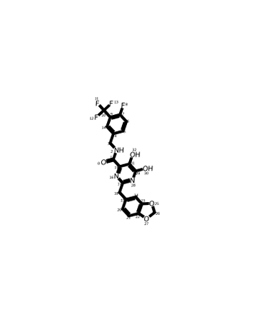 O=C(NCc1ccc(F)c(C(F)(F)F)c1)c1nc(Cc2ccc3c(c2)OCO3)nc(O)c1O